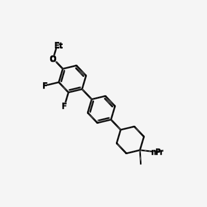 CCCC1(C)CCC(c2ccc(-c3ccc(OCC)c(F)c3F)cc2)CC1